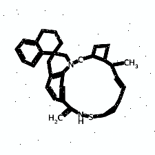 C=C1NSC2CC(/C=C/C(C)C3CCC3CN3CC4(CCCc5ccccc54)Cc4ccc1cc43)C2